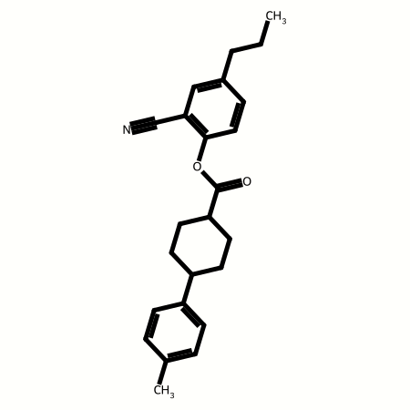 CCCc1ccc(OC(=O)C2CCC(c3ccc(C)cc3)CC2)c(C#N)c1